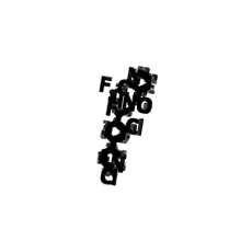 O=C(NCC(F)c1ccc(-c2ccc(Cl)nc2)cc1Cl)c1cccnc1C(F)(F)F